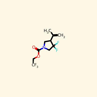 C=C(C)C1CN(C(=O)OCC(F)(F)F)CC1(F)F